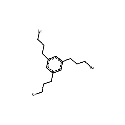 BrCCCc1cc(CCCBr)cc(CCCBr)c1